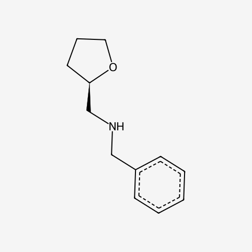 c1ccc(CNC[C@H]2CCCO2)cc1